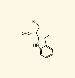 Cc1c(C(C=O)CBr)[nH]c2ccccc12